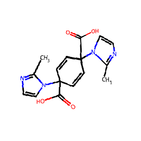 Cc1nccn1C1(C(=O)O)C=CC(C(=O)O)(n2ccnc2C)C=C1